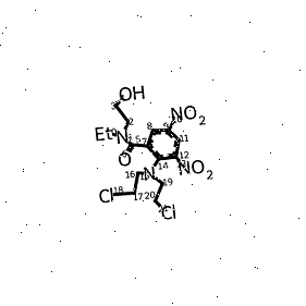 CCN(CCO)C(=O)c1cc([N+](=O)[O-])cc([N+](=O)[O-])c1N(CCCl)CCCl